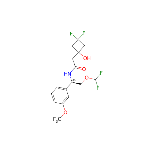 O=C(CC1(O)CC(F)(F)C1)N[C@@H](COC(F)F)c1cccc(OC(F)(F)F)c1